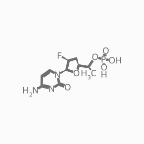 C[C@H](OP(=O)(O)O)[C@@H]1C[C@H](F)[C@H](n2ccc(N)nc2=O)O1